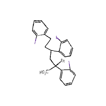 CCC(CC(CCc1ccccc1I)c1ccccc1I)(C(=O)O)c1ccccc1I